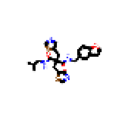 CC(C)CNC(=O)C(Cc1cncs1)(Cc1cncs1)C(=O)NCc1ccc2occc2c1